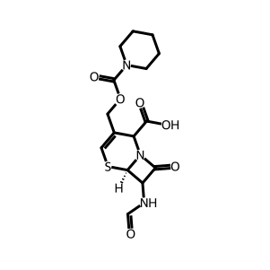 O=CNC1C(=O)N2C(C(=O)O)C(COC(=O)N3CCCCC3)=CS[C@H]12